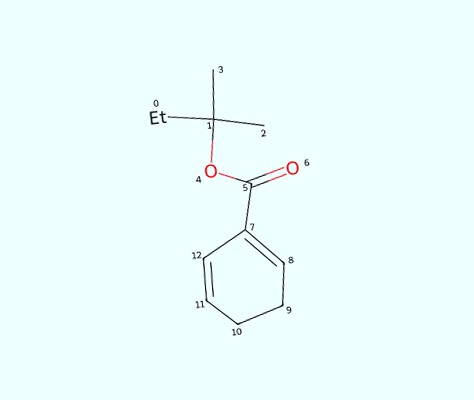 CCC(C)(C)OC(=O)C1=CCCC=C1